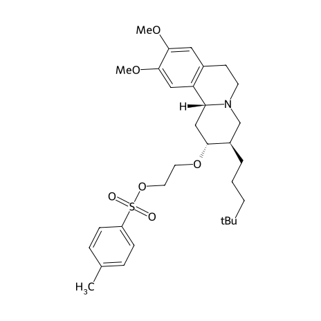 COc1cc2c(cc1OC)[C@H]1C[C@@H](OCCOS(=O)(=O)c3ccc(C)cc3)[C@H](CCCC(C)(C)C)CN1CC2